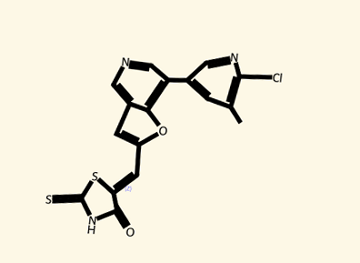 Cc1cc(-c2cncc3cc(/C=C4\SC(=S)NC4=O)oc23)cnc1Cl